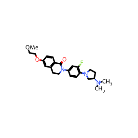 COCCOc1ccc2c(c1)CCN(c1ccc(N3CC[C@@H](N(C)C)C3)c(F)c1)C2=O